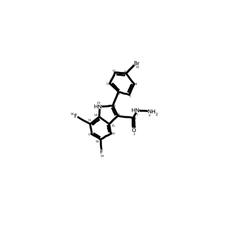 NNC(=O)c1c(-c2ccc(Br)cc2)[nH]c2c(F)cc(F)cc12